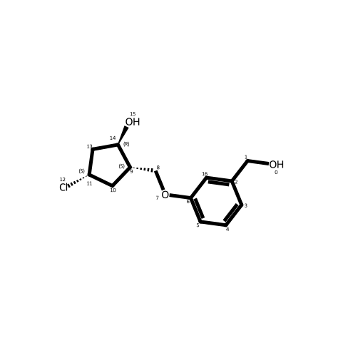 OCc1cccc(OC[C@@H]2C[C@H](Cl)C[C@H]2O)c1